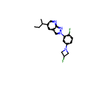 CCC(C)c1cnc2nn(-c3cc(N4CC(F)C4)ccc3F)cc2c1